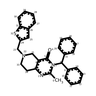 Cc1nc2c(c(=O)n1C(c1ccccc1)c1ccccc1)CN(Cc1cc3ccccc3s1)CC2